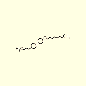 CCCCCCCCO[C@H]1CC[C@H](C2CCC(CCCC)CC2)CC1